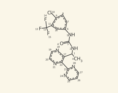 CC(NC(=O)Nc1ccc(Cl)c(C(F)(F)F)c1)c1nccnc1-c1ncccn1